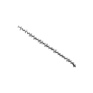 [CH2]CCCCCCCCCCCCCCCCCCCCCCCCCCCCCCCCCCCCCCCCCCCCCCCCCC#N